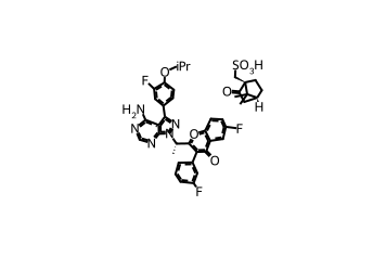 CC(C)Oc1ccc(-c2nn([C@@H](C)c3oc4ccc(F)cc4c(=O)c3-c3cccc(F)c3)c3ncnc(N)c23)cc1F.CC1(C)[C@H]2CC[C@@]1(CS(=O)(=O)O)C(=O)C2